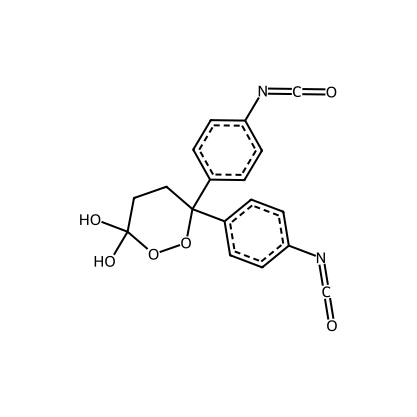 O=C=Nc1ccc(C2(c3ccc(N=C=O)cc3)CCC(O)(O)OO2)cc1